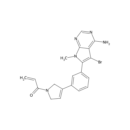 C=CC(=O)N1CC=C(c2cccc(-c3c(Br)c4c(N)ncnc4n3C)c2)C1